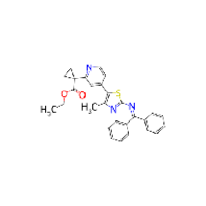 CCOC(=O)C1(c2cc(-c3sc(N=C(c4ccccc4)c4ccccc4)nc3C)ccn2)CC1